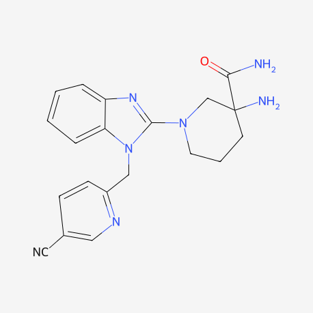 N#Cc1ccc(Cn2c(N3CCCC(N)(C(N)=O)C3)nc3ccccc32)nc1